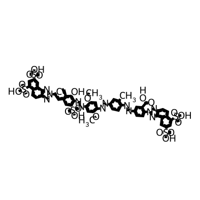 COc1cc(N=Nc2c(S(=O)(=O)O)cc3cc(-n4nc5ccc6c(S(=O)(=O)O)cc(S(=O)(=O)O)cc6c5n4)ccc3c2O)c(OC)cc1N=Nc1ccc(N=Nc2ccc(-n3nc4ccc5c(S(=O)(=O)O)cc(S(=O)(=O)O)cc5c4n3)c(C(=O)O)c2)c(C)c1